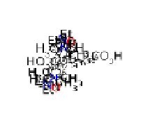 CCN(CC)C(=O)N1C(C)(C)CC(C(CCCCCCCC(=O)O)(C(=O)O)C2CC(C)(C)N(C(=O)N(CC)CC)C(C)(C)C2)CC1(C)C